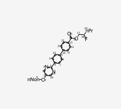 CCCCCCCCCOc1cnc(-c2ccc(-c3ccc(C(=O)OC[C@H](F)CCC)cc3)cc2)nc1